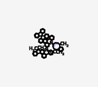 C=C1/C=C\C(N(c2cc(-c3cccc4c3-c3ccccc3C43c4ccccc4-c4ccccc43)cc(N(c3ccc4c(c3)C(C)(C)c3ccccc3-4)c3ccccc3-c3ccccc3)c2)c2ccccc2-c2ccccc2)=C/CC(C)(C)c2ccccc21